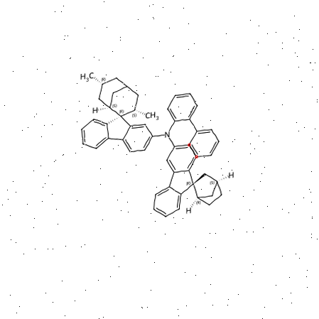 C[C@@H]1CC2C[C@H](C1)[C@@]1(c3ccccc3-c3ccc(N(c4ccc5c(c4)-c4ccccc4[C@]54C[C@H]5CC[C@@H]4C5)c4ccccc4-c4ccccc4)cc31)[C@@H](C)C2